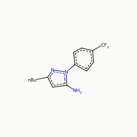 CCCCc1cc(N)n(-c2ccc(C(F)(F)F)cc2)n1